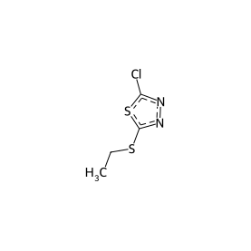 CCSc1nnc(Cl)s1